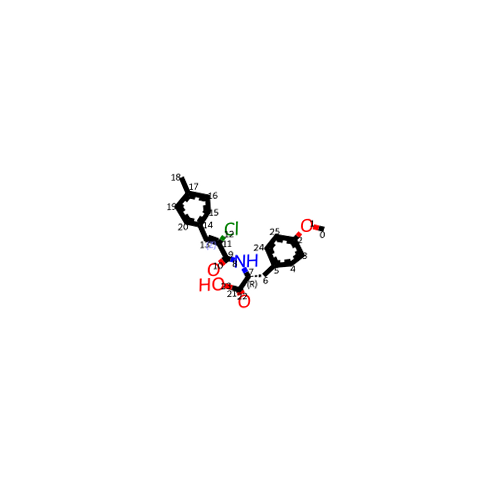 COc1ccc(C[C@@H](NC(=O)/C(Cl)=C/c2ccc(C)cc2)C(=O)O)cc1